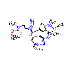 CC(=O)N1c2ccc(C(=O)NCCN(C)C(=O)OC(C)(C)C)cc2[C@H](Nc2cccc(C)n2)[C@@H](C)[C@@H]1C1CC1